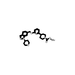 CC(C)(C)OC(=O)N1CCC(c2cccc(OCc3ccc4cnn(C5CCOCC5)c4c3)n2)CC1